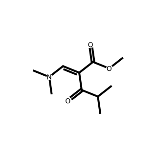 COC(=O)/C(=C/N(C)C)C(=O)C(C)C